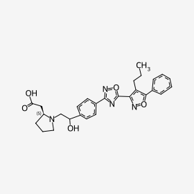 CCCc1c(-c2nc(-c3ccc(C(O)CN4CCC[C@H]4CC(=O)O)cc3)no2)noc1-c1ccccc1